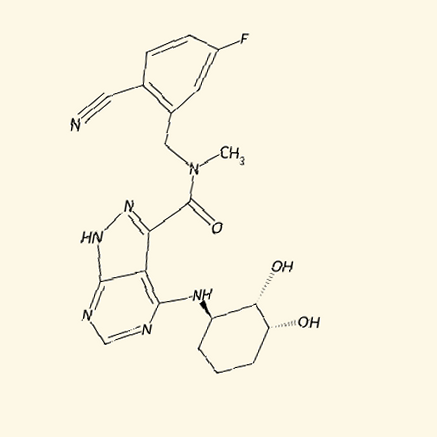 CN(Cc1cc(F)ccc1C#N)C(=O)c1n[nH]c2ncnc(N[C@@H]3CCC[C@@H](O)[C@H]3O)c12